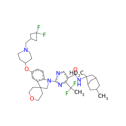 CC1CC2CC(C1)C(NC(=O)c1cnc(N3CC4(CCOCC4)c4cc(OC5CCN(CC6CC(F)(F)C6)CC5)ccc43)nc1C(C)(F)F)(C(=O)O)C2